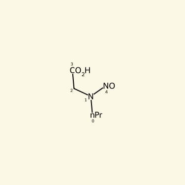 CCCN(CC(=O)O)N=O